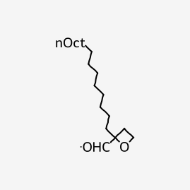 CCCCCCCCCCCCCCCCC1([C]=O)CCO1